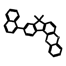 CC1(C)c2cc(-c3cccc4ccccc34)ccc2-c2c1ccc1c2Sc2ccccc2O1